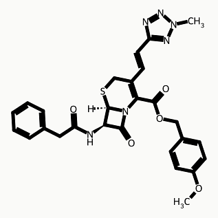 COc1ccc(COC(=O)C2=C(/C=C/c3nnn(C)n3)CS[C@@H]3[C@H](NC(=O)Cc4ccccc4)C(=O)N23)cc1